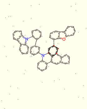 c1cc(-c2ccccc2-n2c3ccccc3c3ccccc32)cc(N(c2cccc(-c3cccc4c3oc3ccccc34)c2)c2ccccc2-c2cc3ccccc3c3ccccc23)c1